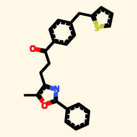 Cc1oc(-c2ccccc2)nc1CCC(=O)c1ccc(Cc2cccs2)cc1